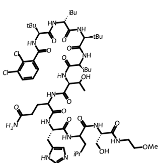 CC[C@@H](C)C(NC(=O)[C@@H](NC(=O)c1cccc(Cl)c1Cl)C(C)(C)C)C(=O)N[C@H](C(=O)NC(C(=O)N[C@H](C(=O)NC(CCC(N)=O)C(=O)N[C@@H](Cc1cnc[nH]1)C(=O)NC(CC(C)C)C(=O)N[C@@H](CO)C(=O)NCCOC)C(C)O)[C@H](C)CC)C(C)(C)C